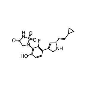 O=C1CN(c2c(O)ccc(C3=C[C@@H](/C=C/C4CC4)NC3)c2F)S(=O)(=O)N1